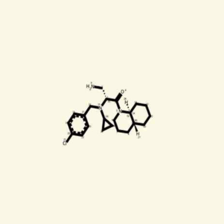 NC[C@H](C(=O)N1CCC[C@H]2CCCC[C@@H]21)N(Cc1ccc(Cl)cc1)C1CC1